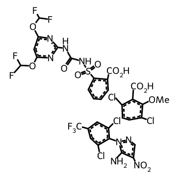 COc1c(Cl)ccc(Cl)c1C(=O)O.Nc1c([N+](=O)[O-])cnn1-c1c(Cl)cc(C(F)(F)F)cc1Cl.O=C(Nc1nc(OC(F)F)cc(OC(F)F)n1)NS(=O)(=O)c1ccccc1C(=O)O